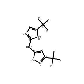 CC(C)(C)c1cc(Nc2ncc(C(C)(C)C)[nH]2)on1